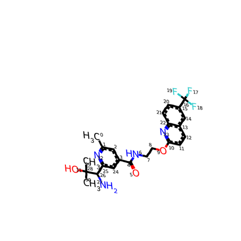 Cc1cc(C(=O)NCCOc2ccc3cc(C(F)(F)F)ccc3n2)cc(C(N)C(C)(C)O)n1